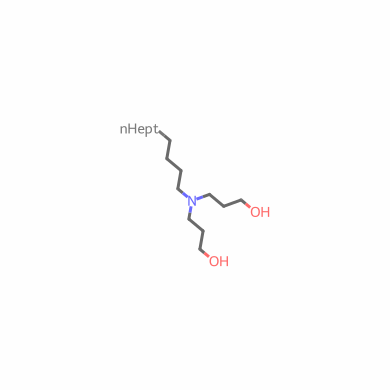 CCCCCCCCCCCN(CCCO)CCCO